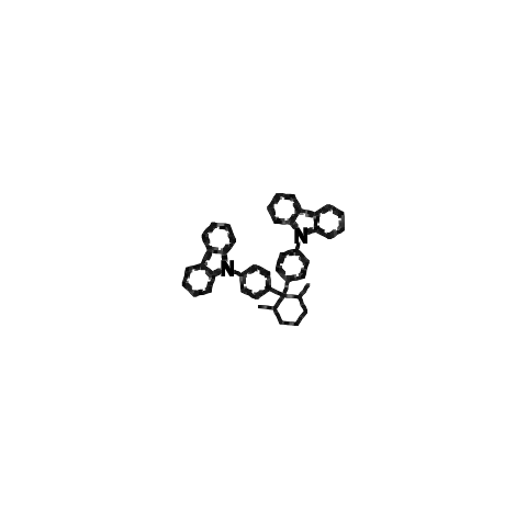 CC1CCCC(C)C1(c1ccc(-n2c3ccccc3c3ccccc32)cc1)c1ccc(-n2c3ccccc3c3ccccc32)cc1